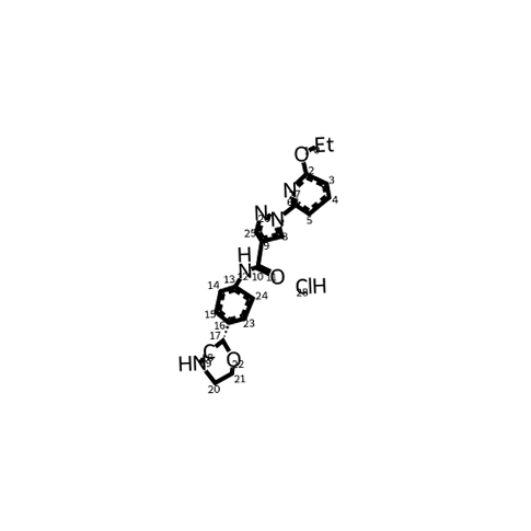 CCOc1cccc(-n2cc(C(=O)Nc3ccc([C@H]4CNCCO4)cc3)cn2)n1.Cl